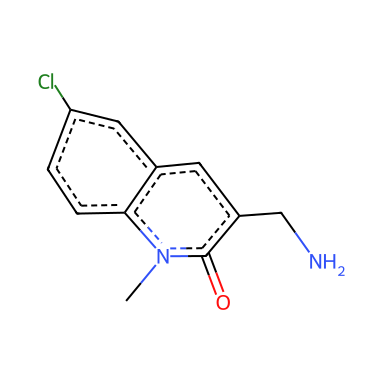 Cn1c(=O)c(CN)cc2cc(Cl)ccc21